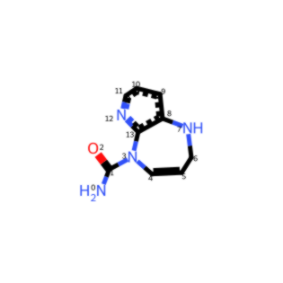 NC(=O)N1C=CCNc2cccnc21